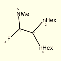 CCCCCCC(CCCCCC)C(F)NC